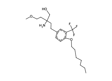 CCCCCCCOc1ccc(CCC(N)(CO)CCOC)cc1C(F)(F)F